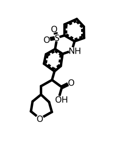 O=C(O)C(CC1CCOCC1)c1ccc2c(c1)Nc1ccccc1S2(=O)=O